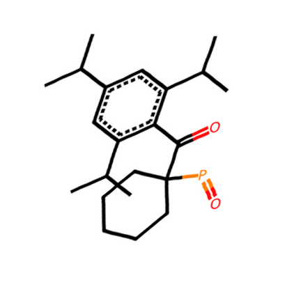 CC(C)c1cc(C(C)C)c(C(=O)C2(P=O)CCCCC2)c(C(C)C)c1